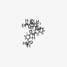 CCNC(=O)c1cccc(C(=O)N[C@H](CN[C@@H](C)C(=O)N[C@H](C(=O)NCC)C(C)C)Cc2ccccc2)c1